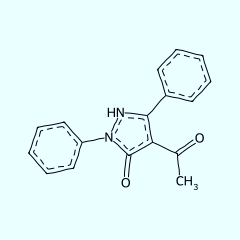 CC(=O)c1c(-c2ccccc2)[nH]n(-c2ccccc2)c1=O